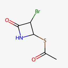 CC(=O)SC1NC(=O)C1Br